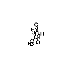 O=c1c(NCc2ccccc2)c[nH]c2nc(-c3ccccc3)c(-c3ccc4ncccc4c3)cc12